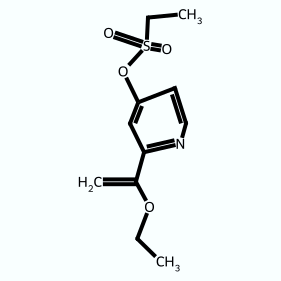 C=C(OCC)c1cc(OS(=O)(=O)CC)ccn1